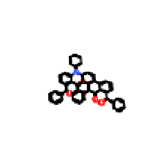 O=C(c1ccccc1)c1cccc(-c2ccc(N(c3ccccc3)c3cccc(C(=O)c4ccccc4)c3C(=O)c3ccccc3)cc2)c1C(=O)c1ccccc1